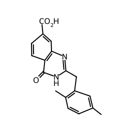 Cc1ccc(C)c(Cc2nc3cc(C(=O)O)ccc3c(=O)[nH]2)c1